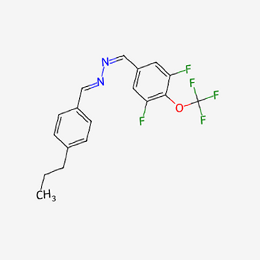 CCCc1ccc(/C=N/N=C\c2cc(F)c(OC(F)(F)F)c(F)c2)cc1